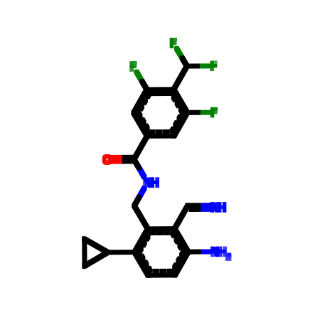 N=Cc1c(N)ccc(C2CC2)c1CNC(=O)c1cc(F)c(C(F)F)c(F)c1